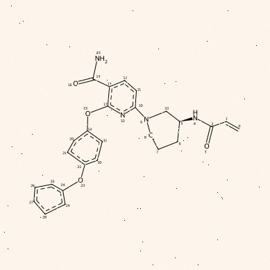 C=CC(=O)N[C@H]1CCCN(c2ccc(C(N)=O)c(Oc3ccc(Oc4ccccc4)cc3)n2)C1